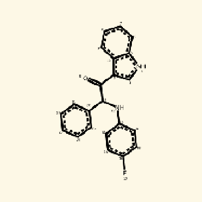 O=C(c1c[nH]c2ccccc12)C(Nc1ccc(F)cc1)c1ccccc1